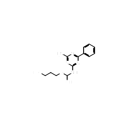 CCCCOC(O)Nc1nc(N)nc(-c2ccccc2)n1